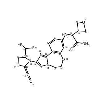 NC(=O)[C@@H](Nc1ccc2c(c1)OCCn1cc(N3C(=C=O)OC[C@H]3C(F)F)nc1-2)C1COC1